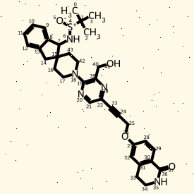 CC(C)(C)[S+]([O-])NC1c2ccccc2CC12CCN(c1ncc(C#CCOc3ccc4c(c3)CCNC4=O)nc1CO)CC2